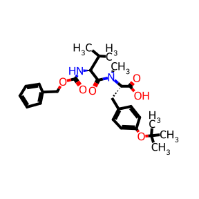 CC(C)[C@H](NC(=O)OCc1ccccc1)C(=O)N(C)[C@@H](Cc1ccc(OC(C)(C)C)cc1)C(=O)O